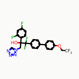 OC(Cn1cnnn1)(c1ccc(F)cc1F)C(F)(F)c1ccc(-c2ccc(OCC(F)(F)F)cc2)cc1